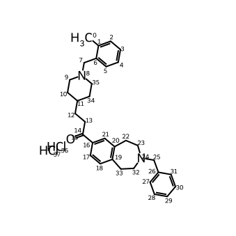 Cc1ccccc1CN1CCC(CCC(=O)c2ccc3c(c2)CCN(Cc2ccccc2)CC3)CC1.Cl.Cl